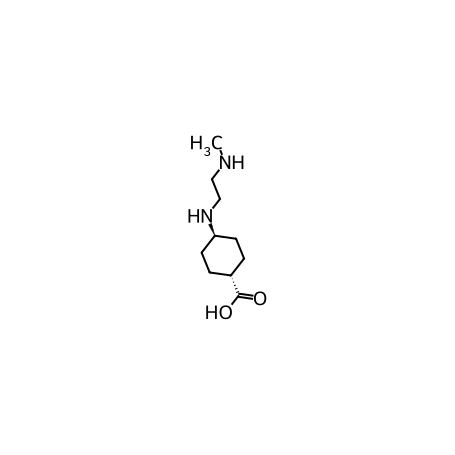 CNCCN[C@H]1CC[C@H](C(=O)O)CC1